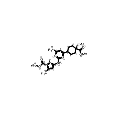 COC(=O)C1(OC)CCC(c2cc(C)nc(Nc3cc(C)n(C(=O)OC(C)(C)C)n3)n2)CC1